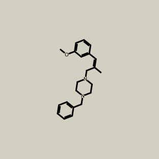 COc1cccc(C=C(C)CN2CCN(Cc3ccccc3)CC2)c1